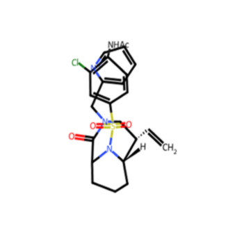 C=C[C@H]1CN(Cc2ccccn2)C(=O)C2CCC[C@@H]1N2S(=O)(=O)c1ccc(NC(C)=O)c(Cl)c1